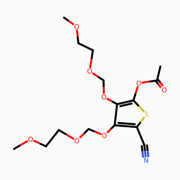 COCCOCOc1c(C#N)sc(OC(C)=O)c1OCOCCOC